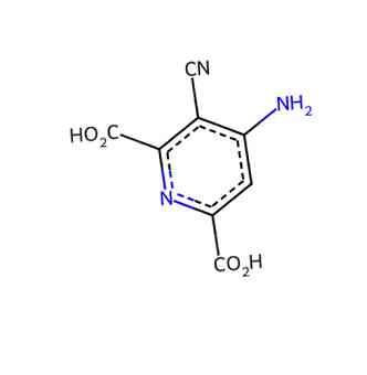 N#Cc1c(N)cc(C(=O)O)nc1C(=O)O